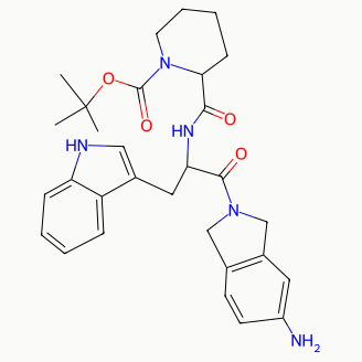 CC(C)(C)OC(=O)N1CCCCC1C(=O)NC(Cc1c[nH]c2ccccc12)C(=O)N1Cc2ccc(N)cc2C1